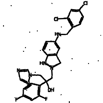 OC(CN1Cc2cc(NCc3ccc(Cl)cc3Cl)ccc2N1)(Cn1cncn1)c1ccc(F)cc1F